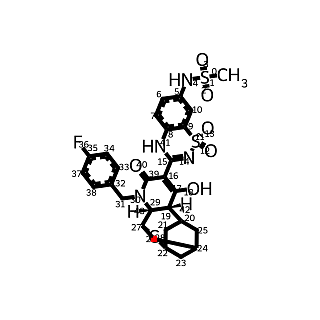 CS(=O)(=O)Nc1ccc2c(c1)S(=O)(=O)N=C(C1=C(O)[C@@H]3C4CC5CC(C4)CC(C5)[C@@H]3N(Cc3ccc(F)cc3)C1=O)N2